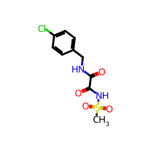 CS(=O)(=O)NC(=O)C(=O)NCc1ccc(Cl)cc1